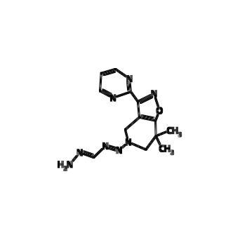 CC1(C)CN(N=NC=NN)Cc2c(-c3ncccn3)noc21